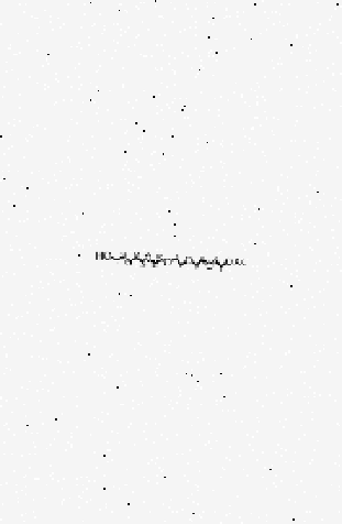 CC(=O)OCCOCCOCCOCCOCCOCCO